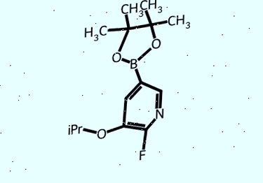 CC(C)Oc1cc(B2OC(C)(C)C(C)(C)O2)cnc1F